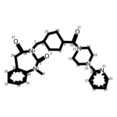 CN1C(=O)N(CC2CCC(C(=O)N3CCN(c4ccccn4)CC3)CC2)C(=O)Cc2ccccc21